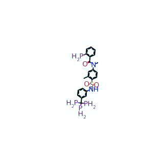 Cc1cc(N(C)C(=O)c2ccccc2P)ccc1S(=O)(=O)Nc1cccc(C(P)(P)P)c1